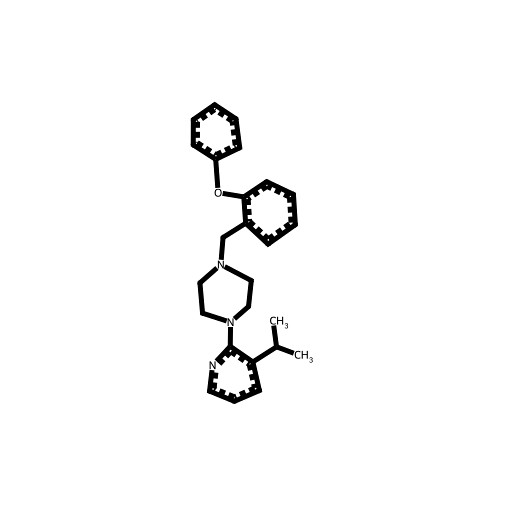 CC(C)c1cccnc1N1CCN(Cc2ccccc2Oc2ccccc2)CC1